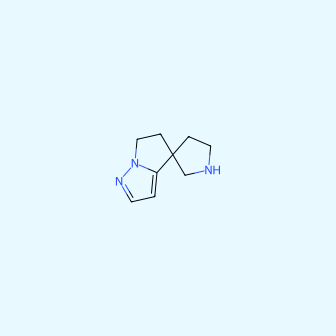 c1cc2n(n1)CCC21CCNC1